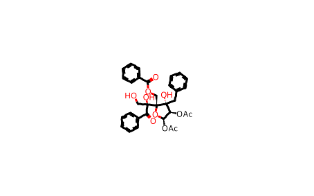 CC(=O)O[C@H]1O[C@](COC(=O)c2ccccc2)([C@@](O)(CO)C(=O)c2ccccc2)[C@@](O)(Cc2ccccc2)[C@H]1OC(C)=O